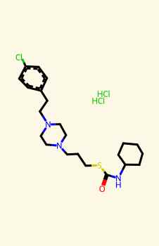 Cl.Cl.O=C(NC1CCCCC1)SCCCN1CCN(CCc2ccc(Cl)cc2)CC1